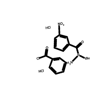 CC(C)(C)N(N)C(=O)c1cccc([N+](=O)[O-])c1.Cl.Cl.O=C(Cl)c1ccccc1